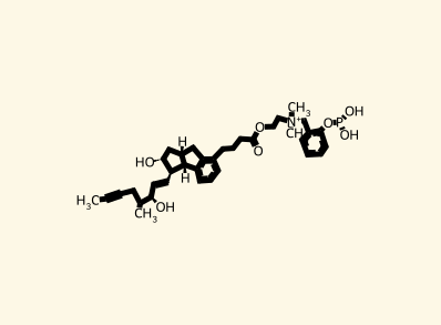 CC#CCC(C)[C@H](O)/C=C/[C@@H]1[C@H]2c3cccc(CCCC(=O)OCC[N+](C)(C)Cc4ccccc4OP(O)O)c3C[C@H]2C[C@H]1O